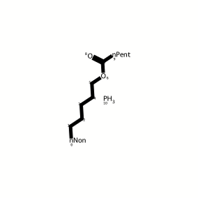 CCCCCCCCCCCCCCOC(=O)CCCCC.P